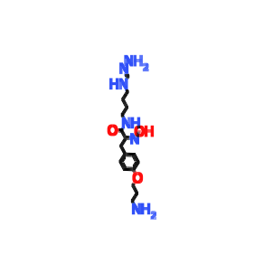 NCCCOc1ccc(CC(=NO)C(=O)NCCCCNC=NN)cc1